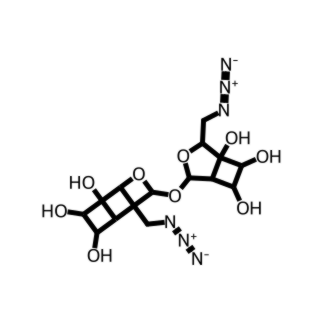 [N-]=[N+]=NCC1OC(OC2OC3C4(O)C(O)C(O)C4C23CN=[N+]=[N-])C2C(O)C(O)C12O